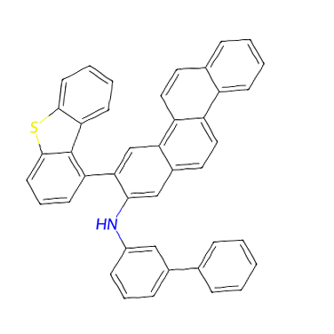 c1ccc(-c2cccc(Nc3cc4ccc5c6ccccc6ccc5c4cc3-c3cccc4sc5ccccc5c34)c2)cc1